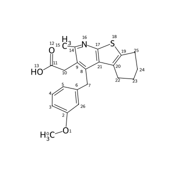 COc1cccc(Cc2c(CC(=O)O)c(C)nc3sc4c(c23)CCCC4)c1